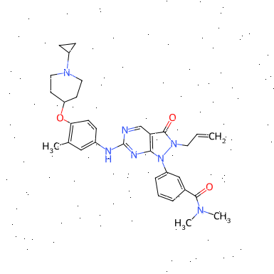 C=CCn1c(=O)c2cnc(Nc3ccc(OC4CCN(C5CC5)CC4)c(C)c3)nc2n1-c1cccc(C(=O)N(C)C)c1